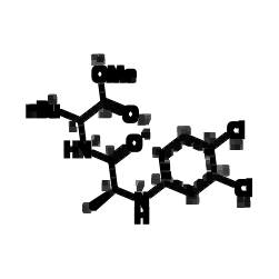 CCCCC(NC(=O)[C@H](C)Nc1ccc(Cl)c(Cl)c1)C(=O)OC